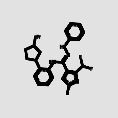 CCCC1CCC(c2ccccc2N/C(=N\Nc2ccccc2)c2cn(C)nc2C(F)F)C1